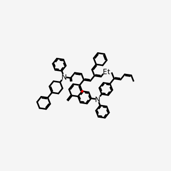 C=C(\C=C/C(=C\C)C(/C=C\C(=C)N(c1ccccc1)C1CC=C(C2=CCCC=C2)CC1)=C/C(=C/CC)/C=C1/C=CC=CC1)c1ccc(N(c2ccccc2)c2ccc(/C(C)=C/C=C\C)cc2)cc1